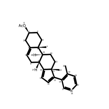 CC(=O)O[C@H]1CC[C@@]2(C)C(=CC[C@H]3C4=CC=C(c5cnccc5C)[C@@]4(C)CC[C@@H]32)C1